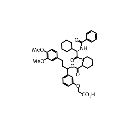 COc1ccc(CCC(OC(=O)C2CCCCN2C(=O)[C@@H](NC(=O)c2ccccc2)C2CCCCC2)c2cccc(OCC(=O)O)c2)cc1OC